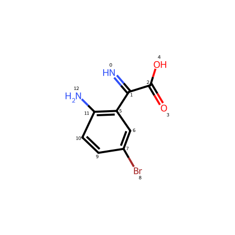 N=C(C(=O)O)c1cc(Br)ccc1N